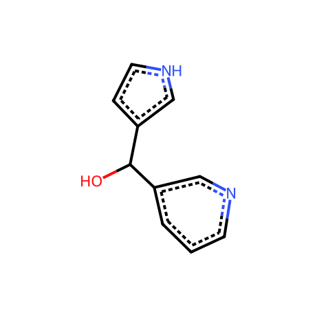 OC(c1cccnc1)c1cc[nH]c1